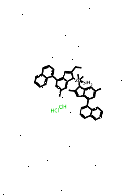 CCC1=Cc2c(-c3cccc4ccccc34)cc(C)cc2[CH]1[Zr]([CH3])([CH3])(=[SiH2])[CH]1C(C)=Cc2c(-c3cccc4ccccc34)cc(C)cc21.Cl.Cl